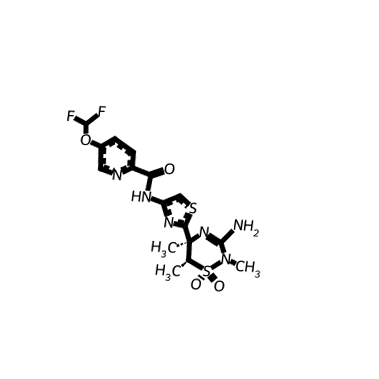 C[C@@H]1[C@@](C)(c2nc(NC(=O)c3ccc(OC(F)F)cn3)cs2)N=C(N)N(C)S1(=O)=O